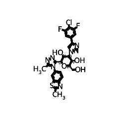 Cc1nc2ccc(-n3c(C)nnc3[C@@H]3O[C@H](CO)[C@H](O)[C@H](n4cc(-c5cc(F)c(Cl)c(F)c5)nn4)[C@H]3O)cc2s1